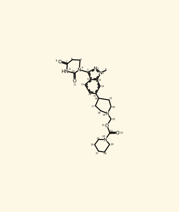 Cn1nc(N2CCC(=O)NC2=O)c2ccc(C3CCN(COC(=O)N4CCCCC4)CC3)cc21